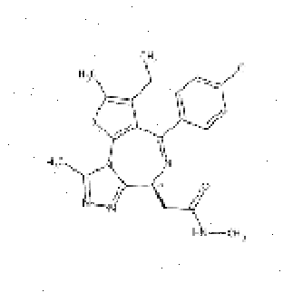 CCc1c(C)sc2c1C(c1ccc(Cl)cc1)=N[C@@H](CC(=O)NC)c1nnc(C)n1-2